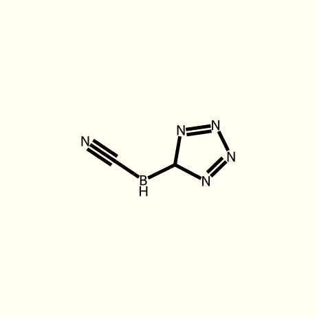 N#CBC1N=NN=N1